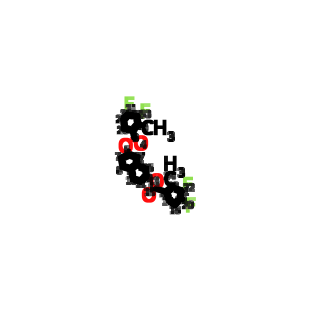 Cc1c(C(=O)Oc2ccc3ccc(OC(=O)c4ccc(F)c(F)c4C)cc3c2)ccc(F)c1F